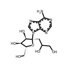 Nc1ncnc2c1ncn2[C@@]1(CC(O)CO)O[C@H](CO)[C@@H](O)[C@H]1O